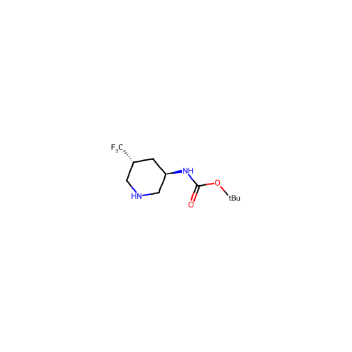 CC(C)(C)OC(=O)N[C@H]1CNC[C@H](C(F)(F)F)C1